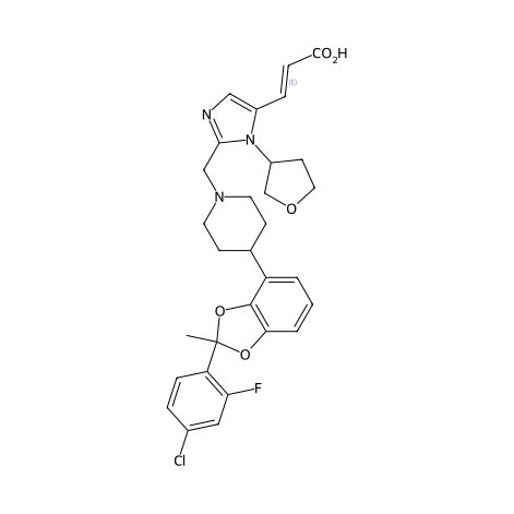 CC1(c2ccc(Cl)cc2F)Oc2cccc(C3CCN(Cc4ncc(/C=C/C(=O)O)n4C4CCOC4)CC3)c2O1